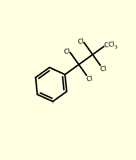 ClC(Cl)(Cl)C(Cl)(Cl)C(Cl)(Cl)c1c[c]ccc1